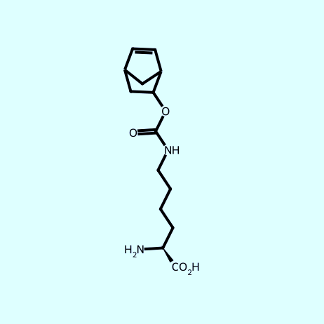 N[C@@H](CCCCNC(=O)OC1CC2C=CC1C2)C(=O)O